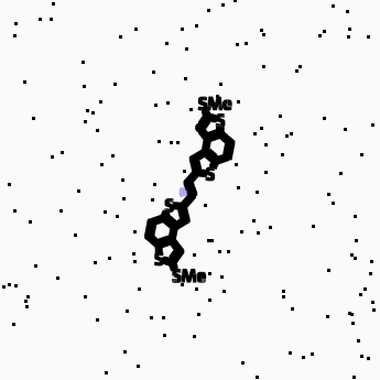 CSc1cc2c(ccc3sc(/C=C/c4cc5c(ccc6sc(SC)cc65)s4)cc32)s1